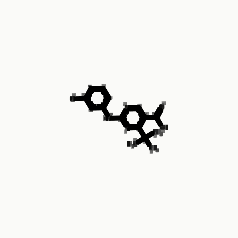 CC(C)(C)c1nc(Nc2cccc(Cl)c2)ncc1C(=O)O